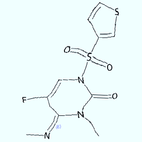 C/N=c1\c(F)cn(S(=O)(=O)c2ccsc2)c(=O)n1C